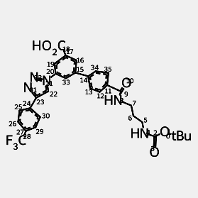 CC(C)(C)OC(=O)NCCCNC(=O)c1ccc(-c2cc(C(=O)O)cc(-n3cc(-c4ccc(C(F)(F)F)cc4)nn3)c2)cc1